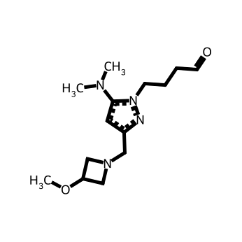 COC1CN(Cc2cc(N(C)C)n(CCCC=O)n2)C1